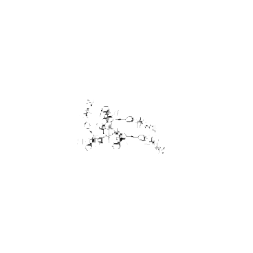 CN(C)CCNC(=O)COc1ccc(C#Cc2cc(CN3CCN(Cc4cc(C#Cc5ccc(OCC(=O)NCC[N+](C)(C)C)cc5)cc(P(=O)(O)c5ccccc5)n4)CC(CN)N(Cc4cc(C#Cc5ccc(OCC(=O)NCC[N+](C)(C)C)cc5)cc(P(=O)(O)c5ccccc5)n4)CC3)nc(P(=O)(O)c3ccccc3)c2)cc1